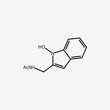 CC(=O)NCc1cc2ccccc2n1O